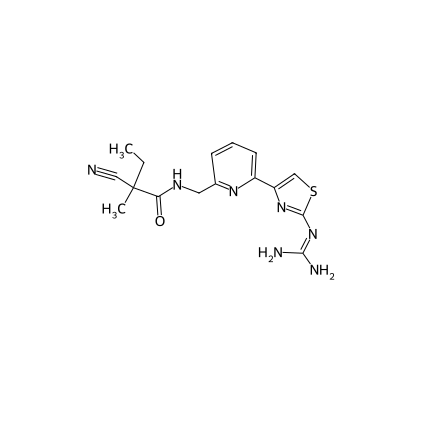 CCC(C)(C#N)C(=O)NCc1cccc(-c2csc(N=C(N)N)n2)n1